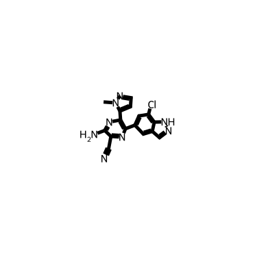 Cn1nccc1-c1nc(N)c(C#N)nc1-c1cc(Cl)c2[nH]ncc2c1